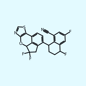 N#Cc1cc(F)cc2c1C(c1ccc3c4c1CC(F)(F)C4Oc1ncsc1-3)CCC2F